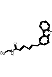 CC(C)(C)CNC(=O)/C=C/C=C/Cc1ccc2oc3ccccc3c2c1